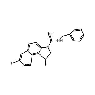 CC1CN(C(=N)NCc2ccccc2)c2ccc3cc(F)ccc3c21